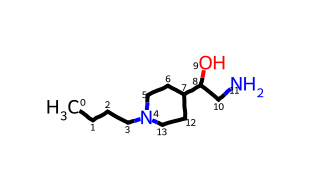 CCCCN1CCC(C(O)CN)CC1